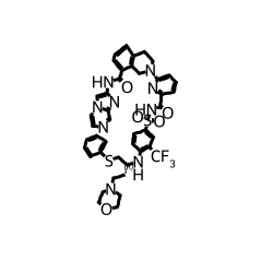 O=C(NS(=O)(=O)c1ccc(N[C@H](CCN2CCOCC2)CSc2ccccc2)c(C(F)(F)F)c1)c1cccc(N2CCc3cccc(C(=O)Nc4cn5ccncc5n4)c3C2)n1